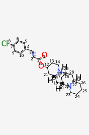 O=C(/C=C/c1ccc(Cl)cc1)OC1CCN2[C@@H]3C[C@@H](C[C@@H]2C1)N1CCCC[C@@H]1C3